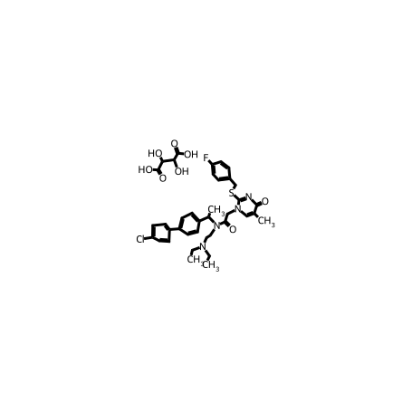 CCN(CC)CCN(C(=O)Cn1cc(C)c(=O)nc1SCc1ccc(F)cc1)C(C)c1ccc(-c2ccc(Cl)cc2)cc1.O=C(O)C(O)C(O)C(=O)O